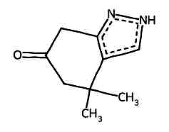 CC1(C)CC(=O)Cc2n[nH]cc21